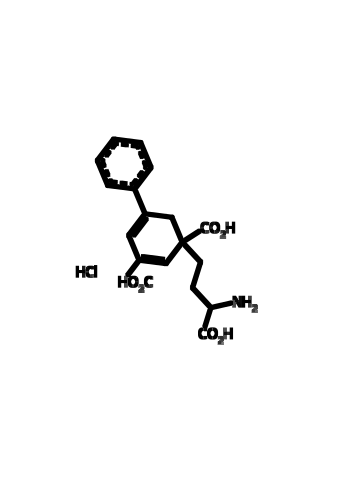 Cl.NC(CCC1(C(=O)O)C=C(C(=O)O)C=C(c2ccccc2)C1)C(=O)O